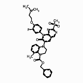 Cc1cccc2c1N(C(=O)OCc1ccccc1)CCN2c1cc2cnc(S(C)(=O)=O)nc2n(-c2ccc(OCCN(C)C)c(F)c2)c1=O